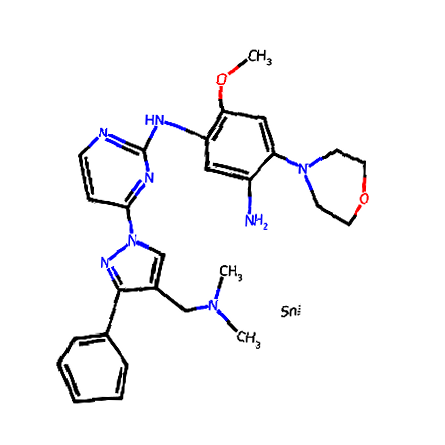 COc1cc(N2CCOCC2)c(N)cc1Nc1nccc(-n2cc(CN(C)C)c(-c3ccccc3)n2)n1.[Sn]